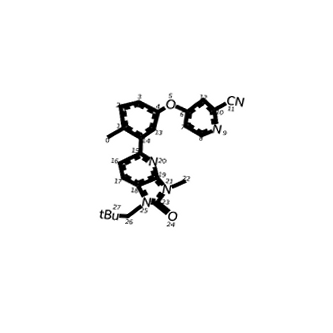 Cc1ccc(Oc2ccnc(C#N)c2)cc1-c1ccc2c(n1)n(C)c(=O)n2CC(C)(C)C